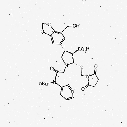 CCCCN(C(=O)CN1C[C@H](c2cc(CO)c3c(c2)OCO3)[C@@H](C(=O)O)[C@@H]1CCN1C(=O)CCC1=O)c1cccnc1